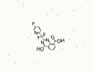 O=C(O)c1cccc2c(O)nc(C(F)(F)c3ccc(F)cn3)nc12